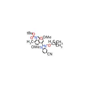 COC(=O)/C=C(\c1c(OC)cc(C)c2c1ccn2C(=O)OC(C)(C)C)c1nc2ccc(C#N)cc2n1COCC[Si](C)(C)C